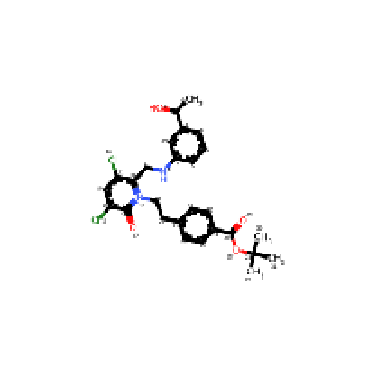 CC(O)c1cccc(NCc2c(Cl)cc(Cl)c(=O)n2CCc2ccc(C(=O)OC(C)(C)C)cc2)c1